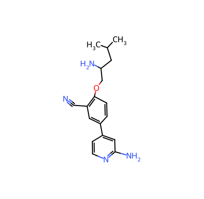 CC(C)CC(N)COc1ccc(-c2ccnc(N)c2)cc1C#N